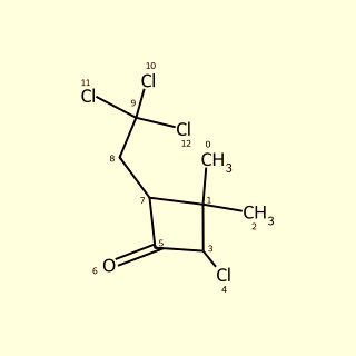 CC1(C)C(Cl)C(=O)C1CC(Cl)(Cl)Cl